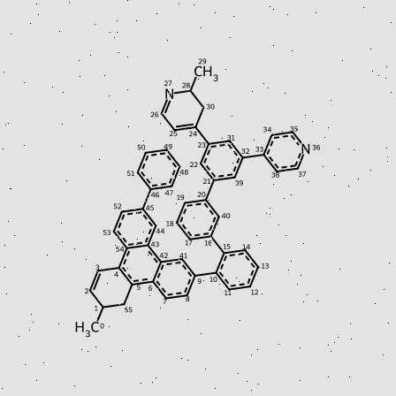 CC1C=Cc2c(c3ccc(-c4ccccc4-c4cccc(-c5cc(C6=CC=NC(C)C6)cc(-c6ccncc6)c5)c4)cc3c3cc(-c4ccccc4)ccc23)C1